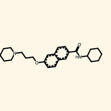 O=C(NC1CCCCC1)c1ccc2cc(OCCCN3CCCCC3)ccc2c1